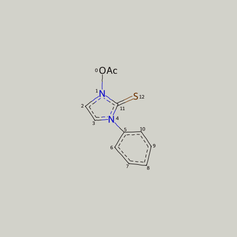 CC(=O)On1ccn(-c2ccccc2)c1=S